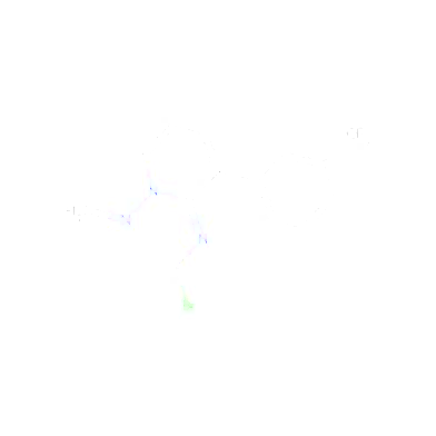 C=Nn1cccc(-c2cccc(C(F)(F)F)c2)/c1=N/CBr